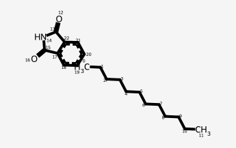 CC[CH]CCCCCCCCC.O=C1NC(=O)c2ccccc21